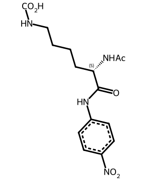 CC(=O)N[C@@H](CCCCNC(=O)O)C(=O)Nc1ccc([N+](=O)[O-])cc1